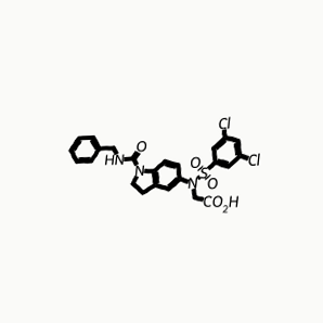 O=C(O)CN(c1ccc2c(c1)CCN2C(=O)NCc1ccccc1)S(=O)(=O)c1cc(Cl)cc(Cl)c1